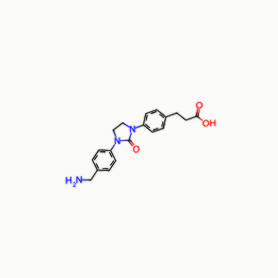 NCc1ccc(N2CCN(c3ccc(CCC(=O)O)cc3)C2=O)cc1